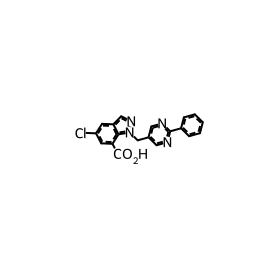 O=C(O)c1cc(Cl)cc2cnn(Cc3cnc(-c4ccccc4)nc3)c12